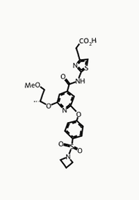 COC[C@@H](C)Oc1cc(C(=O)Nc2nc(CC(=O)O)cs2)cc(Oc2ccc(S(=O)(=O)N3CCC3)cc2)n1